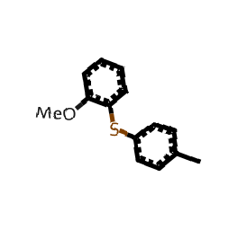 COc1ccccc1Sc1ccc(C)cc1